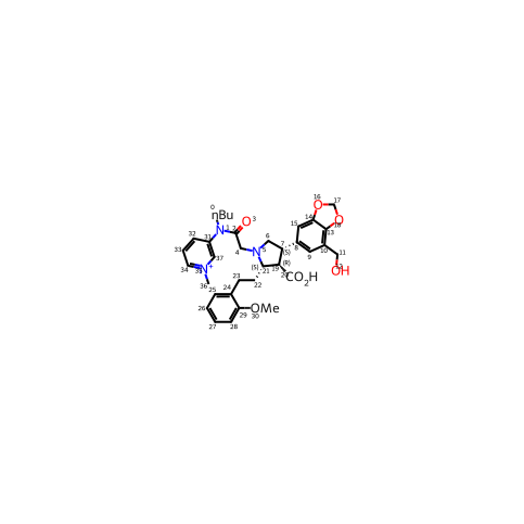 CCCCN(C(=O)CN1C[C@H](c2cc(CO)c3c(c2)OCO3)[C@@H](C(=O)O)[C@@H]1CCc1ccccc1OC)c1ccc[n+](C)c1